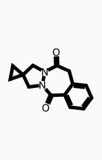 O=C1Cc2ccccc2C(=O)N2CC3(CC3)CN12